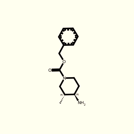 C[C@@H]1CN(C(=O)OCc2ccccc2)CC[C@H]1N